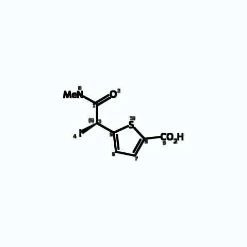 CNC(=O)[C@H](I)c1ccc(C(=O)O)s1